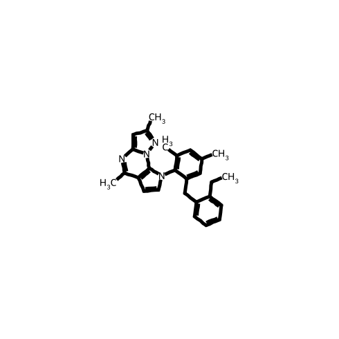 CCc1ccccc1Cc1cc(C)cc(C)c1-n1ccc2c(C)nc3cc(C)nn3c21